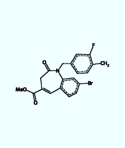 COC(=O)C1=Cc2ccc(Br)cc2N(Cc2ccc(C)c(F)c2)C(=O)C1